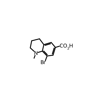 CN1CCCc2cc(C(=O)O)cc(Br)c21